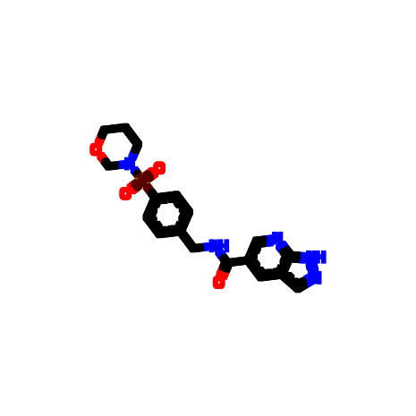 O=C(NCc1ccc(S(=O)(=O)N2CCCOC2)cc1)c1cnc2[nH]ncc2c1